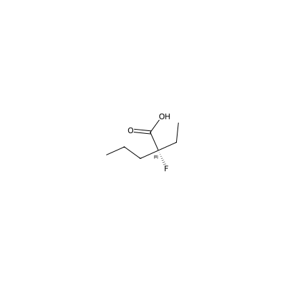 CCC[C@](F)(CC)C(=O)O